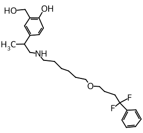 CC(CNCCCCCCOCCCC(F)(F)c1ccccc1)c1ccc(O)c(CO)c1